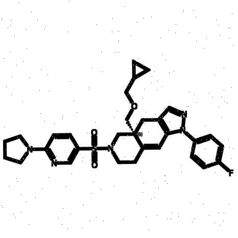 O=S(=O)(c1ccc(N2CCCC2)nc1)N1CCC2=Cc3c(cnn3-c3ccc(F)cc3)C[C@]2(COCC2CC2)C1